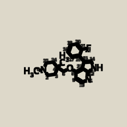 CN1CCC(C)(COc2ccnc3[nH]cc(-c4ccccc4F)c23)CC1